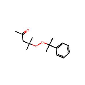 CC(=O)CC(C)(C)OOC(C)(C)c1ccccc1